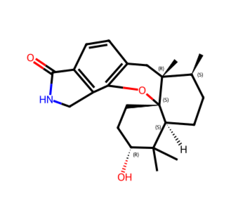 C[C@H]1CC[C@H]2C(C)(C)[C@H](O)CC[C@]23Oc2c(ccc4c2CNC4=O)C[C@]13C